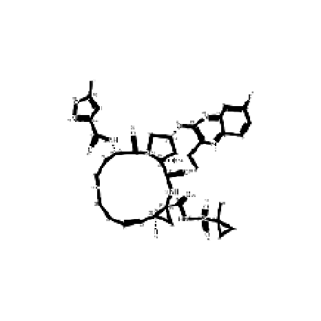 CCc1nc2ccc(F)cc2nc1O[C@@H]1C[C@H]2C(=O)N[C@]3(C(=O)NS(=O)(=O)C4(C)CC4)C[C@H]3C=CCCCCC[C@H](NC(=O)c3cc(C)on3)C(=O)N2C1